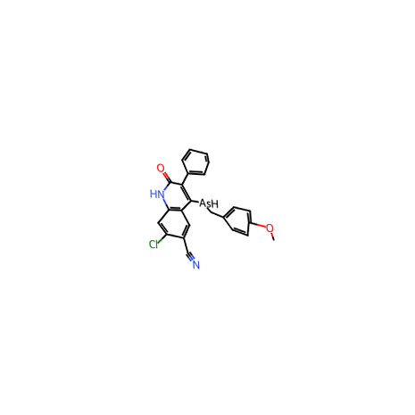 COc1ccc(C[AsH]c2c(-c3ccccc3)c(=O)[nH]c3cc(Cl)c(C#N)cc23)cc1